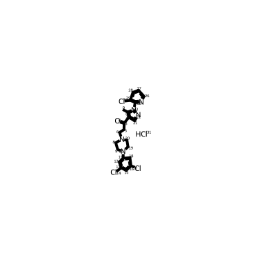 Cc1c(C(=O)CCN2CCN(c3cc(Cl)cc(Cl)c3)CC2)cnn1-c1ncccc1Cl.Cl